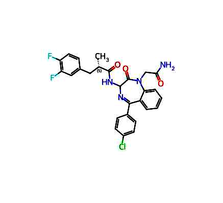 C[C@@H](Cc1ccc(F)c(F)c1)C(=O)NC1N=C(c2ccc(Cl)cc2)c2ccccc2N(CC(N)=O)C1=O